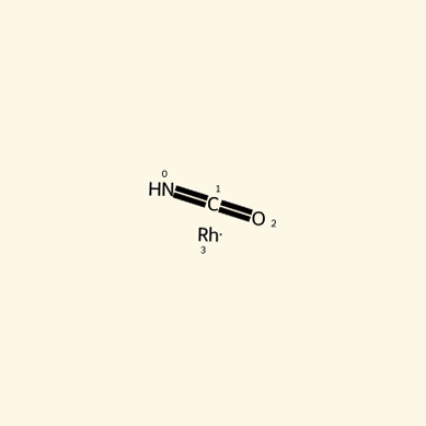 N=C=O.[Rh]